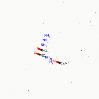 N.N.N.N.N.O=[N+]([O-])[O-].O=[N+]([O-])[O-].[OH][Co+2]